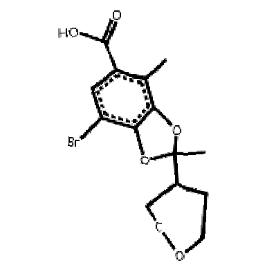 Cc1c(C(=O)O)cc(Br)c2c1OC(C)(C1CCOCC1)O2